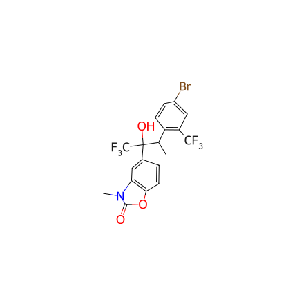 CC(c1ccc(Br)cc1C(F)(F)F)C(O)(c1ccc2oc(=O)n(C)c2c1)C(F)(F)F